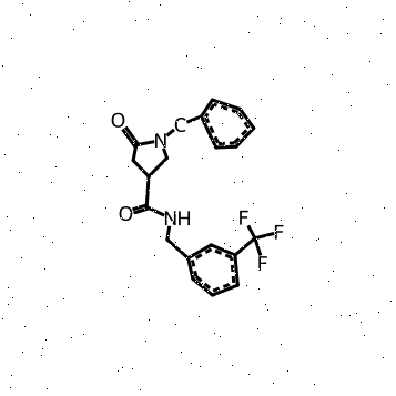 O=C(NCc1cccc(C(F)(F)F)c1)C1CC(=O)N(Cc2ccccc2)C1